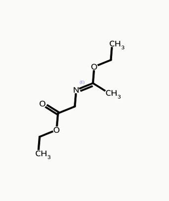 CCOC(=O)C/N=C(\C)OCC